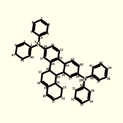 C1=CC(N(c2ccccc2)c2ccc3c(c2)C2CC=C4C=CCCC4C2C2C=C(N(c4ccccc4)c4ccccc4)C=CC32)=CCC1